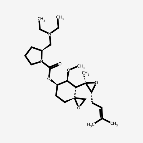 CCN(CC)C[C@@H]1CCCN1C(=O)O[C@@H]1CC[C@]2(CO2)[C@@H]([C@@]2(C)O[C@@H]2CC=C(C)C)[C@@H]1OC